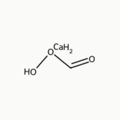 O=COO.[CaH2]